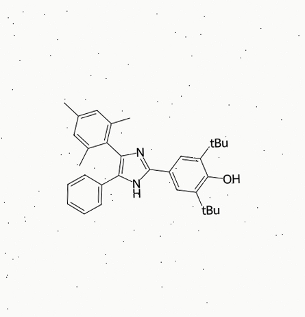 Cc1cc(C)c(-c2nc(-c3cc(C(C)(C)C)c(O)c(C(C)(C)C)c3)[nH]c2-c2ccccc2)c(C)c1